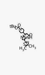 Cc1nc(-c2cnn3c(C4CCN(C(=O)OC(C)(C)C)CC4)cc(=O)[nH]c23)sc1C